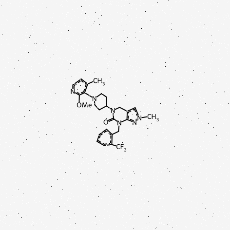 COc1nccc(C)c1N1CCC(N2Cc3cn(C)nc3N(Cc3ccccc3C(F)(F)F)C2=O)CC1